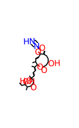 C=C1CCC(O)CC(=O)OC(/C(C)=C/C=C/C(C)(O)CC2OC2C(C)C(O)CC)C(C)/C=C/C1OC(=O)N1CCNCC1